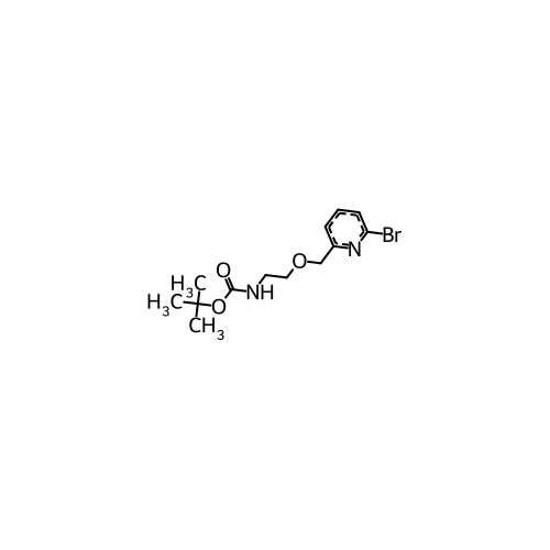 CC(C)(C)OC(=O)NCCOCc1cccc(Br)n1